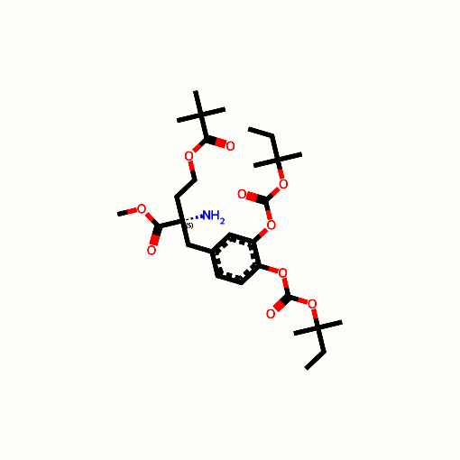 CCC(C)(C)OC(=O)Oc1ccc(C[C@](N)(CCOC(=O)C(C)(C)C)C(=O)OC)cc1OC(=O)OC(C)(C)CC